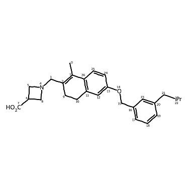 CC1=C(CN2CC(C(=O)O)C2)CCc2cc(OCc3cccc(CC(C)C)c3)ccc21